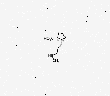 CBCCC[C@H]1CCC[C@H]1C(=O)O